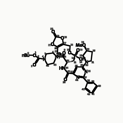 CCCCOC(=O)N1CCN(C(=O)[C@H](CP(=O)(O)OCc2oc(=O)oc2C(C)(C)C)NC(=O)c2cc(N3CC[C@H](OC)C3)nc(-c3ccccc3)n2)CC1